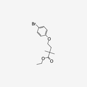 CCOC(=O)C(C)(C)CCOc1ccc(Br)cc1